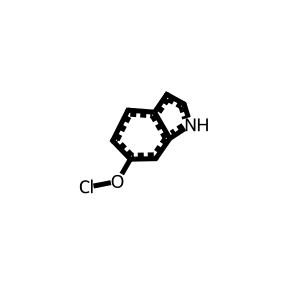 ClOc1ccc2cc[nH]c2c1